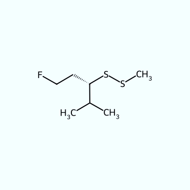 CSS[C@@H](CCF)C(C)C